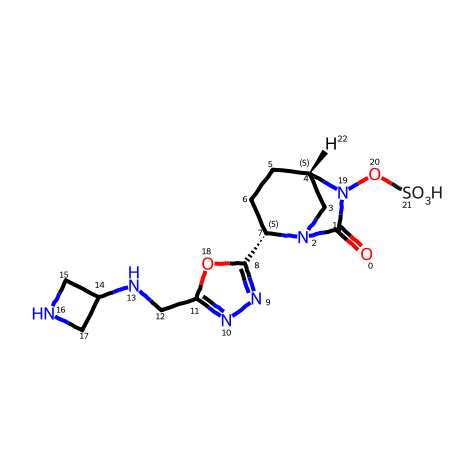 O=C1N2C[C@H](CC[C@H]2c2nnc(CNC3CNC3)o2)N1OS(=O)(=O)O